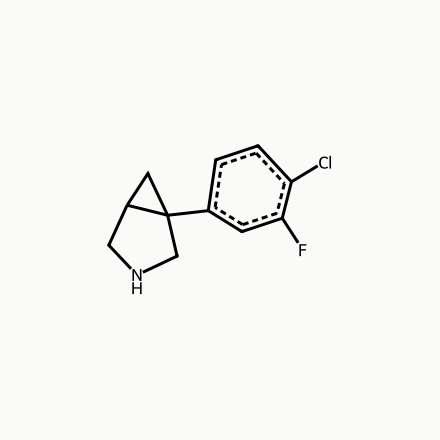 Fc1cc(C23CNCC2C3)ccc1Cl